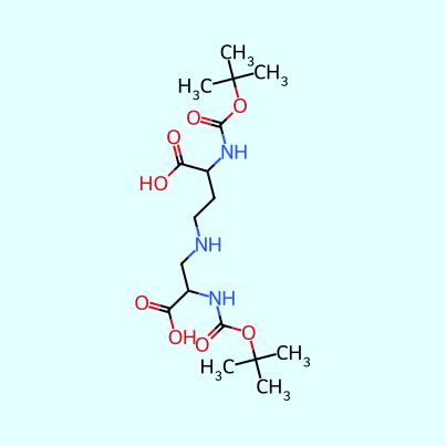 CC(C)(C)OC(=O)NC(CCNCC(NC(=O)OC(C)(C)C)C(=O)O)C(=O)O